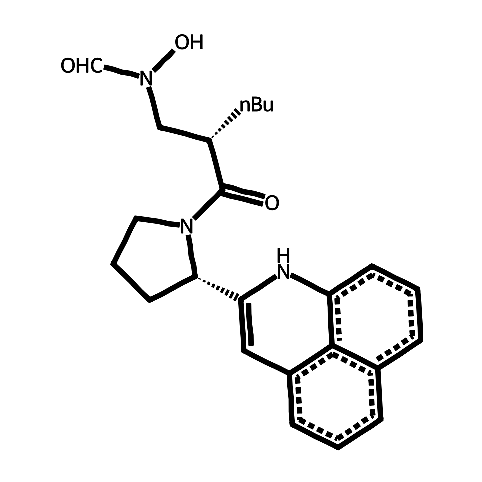 CCCC[C@@H](CN(O)C=O)C(=O)N1CCC[C@H]1C1=Cc2cccc3cccc(c23)N1